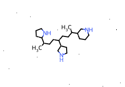 CC(CCC(CCC(C)C1CCCN1)C1CCNC1)C1CCCNC1